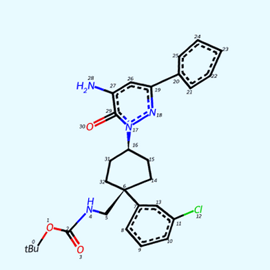 CC(C)(C)OC(=O)NC[C@]1(c2cccc(Cl)c2)CC[C@H](n2nc(-c3ccccc3)cc(N)c2=O)CC1